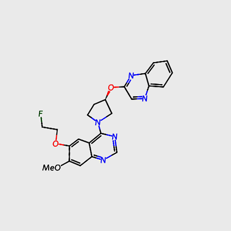 COc1cc2ncnc(N3CC[C@@H](Oc4cnc5ccccc5n4)C3)c2cc1OCCF